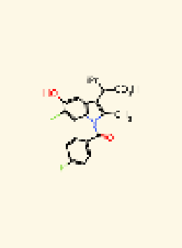 Cc1c(C(C(=O)O)C(C)C)c2cc(O)c(F)cc2n1C(=O)c1ccc(F)cc1